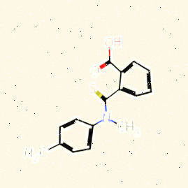 Cc1ccc(N(C)C(=S)c2ccccc2C(=O)O)cc1